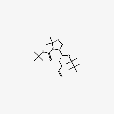 C=CCC[C@@H](O[Si](C)(C)C(C)(C)C)[C@@H]1COC(C)(C)N1C(=O)OC(C)(C)C